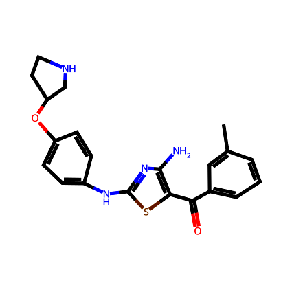 Cc1cccc(C(=O)c2sc(Nc3ccc(OC4CCNC4)cc3)nc2N)c1